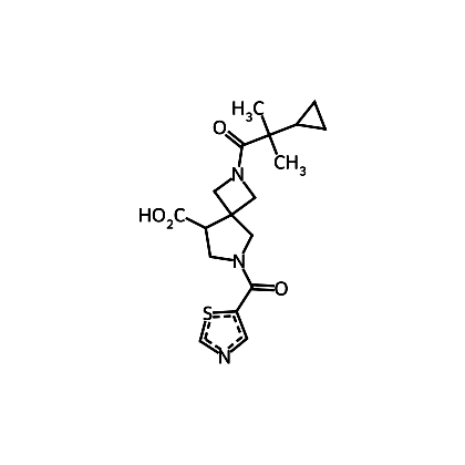 CC(C)(C(=O)N1CC2(CN(C(=O)c3cncs3)CC2C(=O)O)C1)C1CC1